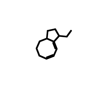 CCC1CCC2CCCC=CC=C12